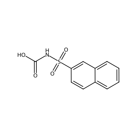 O=C(O)NS(=O)(=O)c1ccc2ccccc2c1